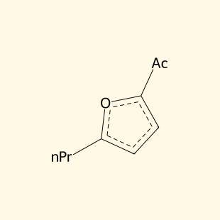 CCCc1ccc(C(C)=O)o1